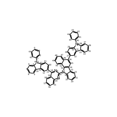 c1ccc(-n2c3ccccc3c3cc(-c4nc(-n5c6ccccc6c6cc(-c7ccc8c(c7)c7ccccc7n8-c7ccccc7)c7ccccc7c65)nc5ccccc45)ccc32)cc1